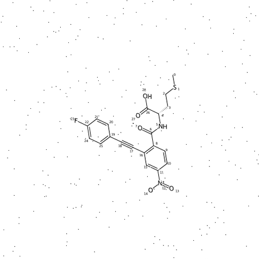 CSCC[C@H](NC(=O)c1ccc([N+](=O)[O-])cc1C#Cc1ccc(F)cc1)C(=O)O